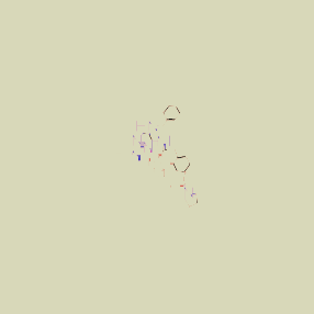 CCN(CC)c1ncc(NCc2ccccc2)c(N[C@@H](Cc2ccc(OC(=O)N3CCCC3)cc2)C(=O)OC(C)(C)C)n1